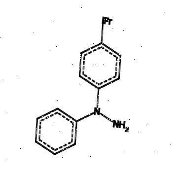 CC(C)c1ccc(N(N)c2ccccc2)cc1